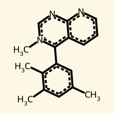 Cc1cc(C)c(C)c(-c2c3cccnc3nc[n+]2C)c1